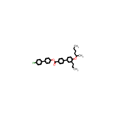 C=CCc1cc(-c2ccc(C(=O)Oc3ccc(-c4ccc(F)cc4)cc3)cc2)ccc1OC(C)CCCC